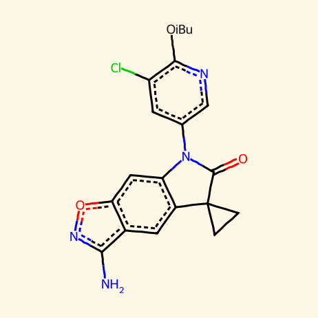 CC(C)COc1ncc(N2C(=O)C3(CC3)c3cc4c(N)noc4cc32)cc1Cl